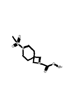 CC(C)(C)OC(=O)N1CC2(CCN(S(C)(=O)=O)CC2)C1